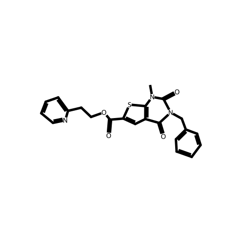 Cn1c(=O)n(Cc2ccccc2)c(=O)c2cc(C(=O)OCCc3ccccn3)sc21